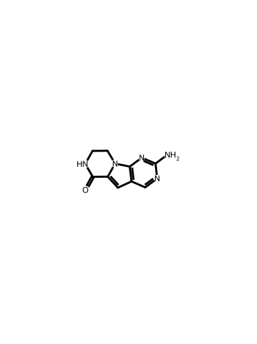 Nc1ncc2cc3n(c2n1)CCNC3=O